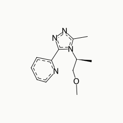 COC[C@H](C)n1c(C)nnc1-c1ccccn1